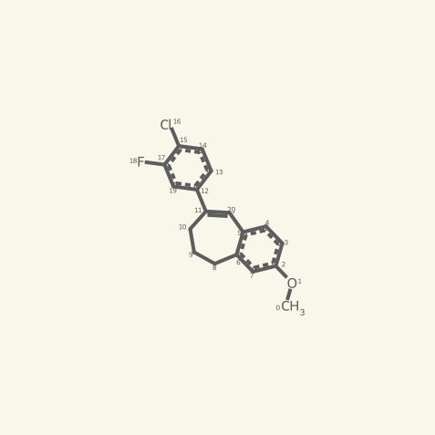 COc1ccc2c(c1)CCCC(c1ccc(Cl)c(F)c1)=[C]2